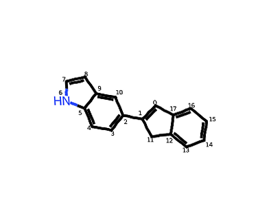 C1=C(c2ccc3[nH]ccc3c2)Cc2ccccc21